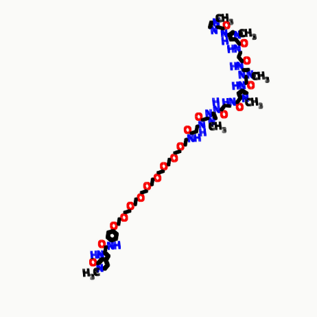 Cn1cc(NC(=O)c2nc(NC(=O)CCNC(=O)c3cc(NC(=O)c4nccn4C)cn3C)cn2C)cc1C(=O)NCCC(=O)Nc1cn(C)c(C(=O)NCCC(=O)NCCOCCOCCOCCOCCOCCOCCOCCOCCOc2ccc(NC(=O)c3cc4ccn(C)c(=O)c4[nH]3)cc2)n1